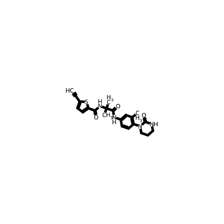 C#Cc1ccc(C(=O)NC(C)(C)C(=O)Nc2ccc(N3CCCNC3=O)c(C)c2)s1